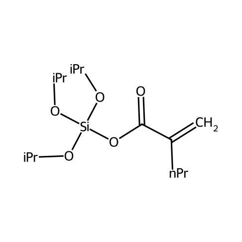 C=C(CCC)C(=O)O[Si](OC(C)C)(OC(C)C)OC(C)C